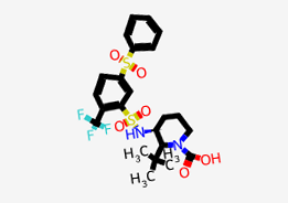 CC(C)(C)C1[C@@H](NS(=O)(=O)c2cc(S(=O)(=O)c3ccccc3)ccc2C(F)(F)F)CCCN1C(=O)O